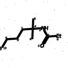 CCC(=O)NC(C)(C)CCCC(C)C